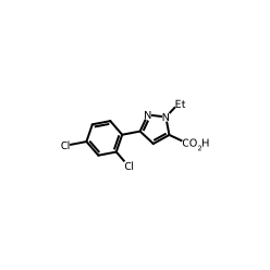 CCn1nc(-c2ccc(Cl)cc2Cl)cc1C(=O)O